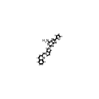 Nc1nc(N2CC3CCN(Cc4ccc5ccccc5n4)C3C2)nc2nc(-c3ccco3)nn12